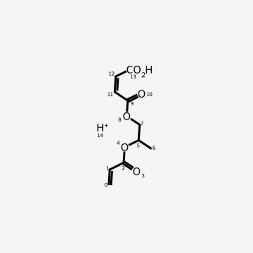 C=CC(=O)OC(C)COC(=O)/C=C\C(=O)O.[H+]